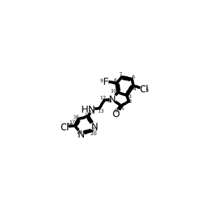 O=C1Cc2c(Cl)ccc(F)c2N1CCNc1cc(Cl)ncn1